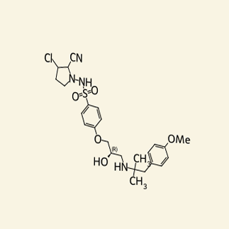 COc1ccc(CC(C)(C)NC[C@@H](O)COc2ccc(S(=O)(=O)NN3CCC(Cl)C3C#N)cc2)cc1